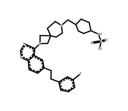 CCS(=O)(=O)NC1CCC(CN2CCC3(CC2)CN(c2ncnc4ccc(CCc5cccc(F)c5)cc24)C3)CC1